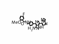 COc1ccc(F)cc1C(=O)NCc1ccc(-c2ncc(-c3ccnc4ccnn34)c3[nH]nc(N)c23)cc1